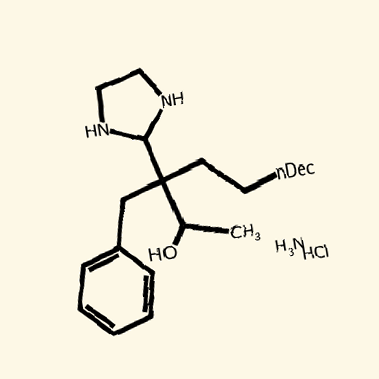 CCCCCCCCCCCCC(Cc1ccccc1)(C(C)O)C1NCCN1.Cl.N